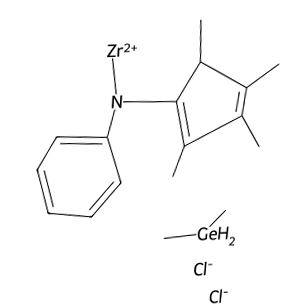 CC1=C(C)C(C)C([N]([Zr+2])c2ccccc2)=C1C.[CH3][GeH2][CH3].[Cl-].[Cl-]